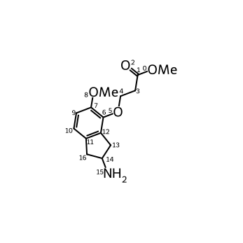 COC(=O)CCOc1c(OC)ccc2c1CC(N)C2